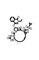 CCn1nc(O[C@@H]2C[C@H]3C(=O)NC4(C(=O)NS(=O)(=O)C5CC5)CC4/C=C\CC[C@H](C)C[C@@H](C)[C@H](NC(=O)O)C(=O)N3C2)c2ccccc2c1=O